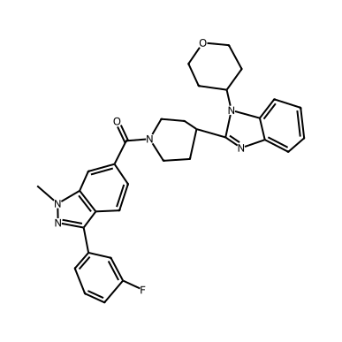 Cn1nc(-c2cccc(F)c2)c2ccc(C(=O)N3CCC(c4nc5ccccc5n4C4CCOCC4)CC3)cc21